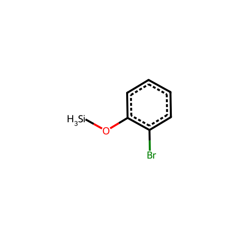 [SiH3]Oc1ccccc1Br